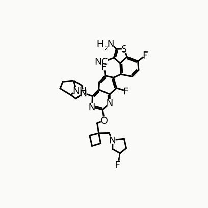 N#Cc1c(N)sc2c(F)ccc(-c3c(F)cc4c(N5CC6CCC(C5)N6)nc(OCC5(CN6CC[C@@H](F)C6)CCC5)nc4c3F)c12